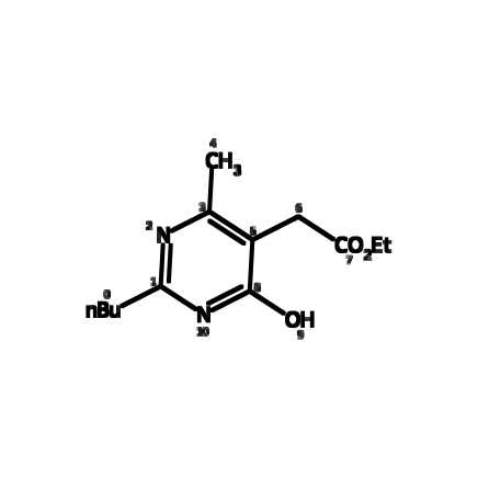 CCCCc1nc(C)c(CC(=O)OCC)c(O)n1